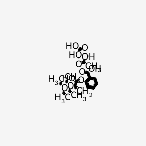 C=CC(=O)O.CC(=O)O.CCOCC.CCOCC.O=C(O)O.O=C(O)c1ccccc1